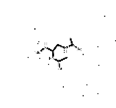 CCCCNC(CN[C@@H](C)C(C)=O)N[C@@H](C)C(C)=O